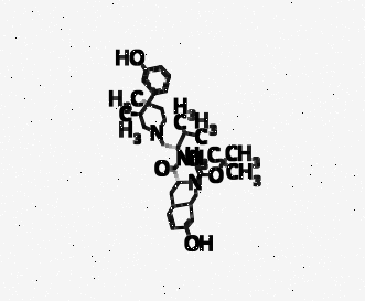 CC(C)[C@@H](CN1CC[C@](C)(c2cccc(O)c2)[C@H](C)C1)NC(=O)[C@H]1CC2C=CC(O)=CC2CN1C(=O)OC(C)(C)C